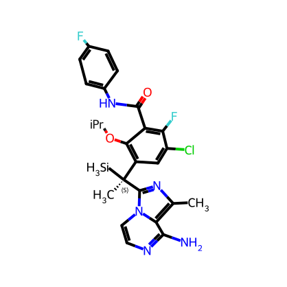 Cc1nc([C@@](C)([SiH3])c2cc(Cl)c(F)c(C(=O)Nc3ccc(F)cc3)c2OC(C)C)n2ccnc(N)c12